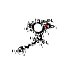 CC[C@H]1OC(=O)[C@H](C)[C@@H](O[C@H]2C[C@@](C)(OC)[C@@H](OC(=O)CCNCCCNC(=O)OC(C)(C)C)[C@H](C)O2)[C@H](C)[C@@H](O[C@@H]2O[C@H](C)C[C@H](N(C)C)[C@H]2O)[C@](C)(OC)C[C@@H](C)C(=O)N[C@H](C)[C@@H](O)[C@]1(C)O